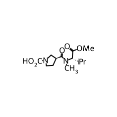 COC(=O)[C@H](C(C)C)N(C)C(=O)[C@H]1CCN(C(=O)O)C1